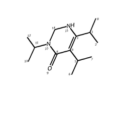 CC(C)C1=C(C(C)C)C(=O)N(C(C)C)CN1